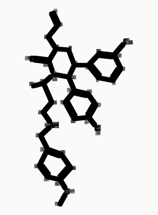 C=CCC1CC(c2cccc(Cl)c2)C(c2ccc(Cl)cc2)N(C(C)CCNCc2ccc(OC)cc2)C1=O